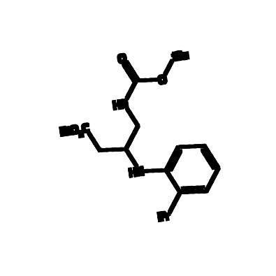 CCOC(=O)CC(CNC(=O)OC(C)(C)C)Nc1ccccc1C(C)C